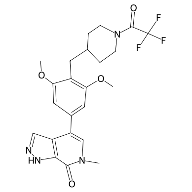 COc1cc(-c2cn(C)c(=O)c3[nH]ncc23)cc(OC)c1CC1CCN(C(=O)C(F)(F)F)CC1